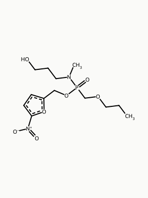 CCCOCP(=O)(OCc1ccc([N+](=O)[O-])o1)N(C)CCCO